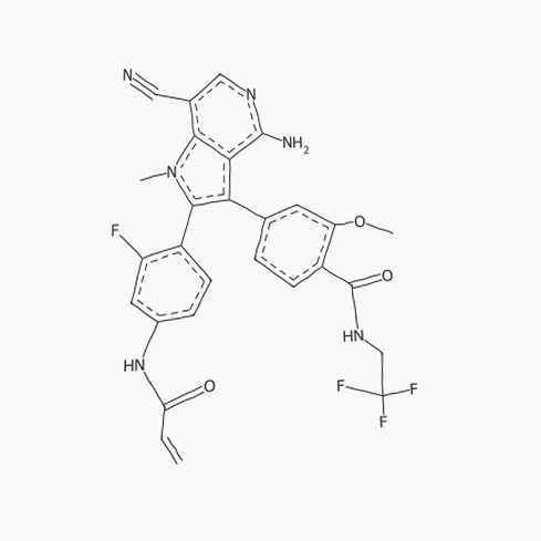 C=CC(=O)Nc1ccc(-c2c(-c3ccc(C(=O)NCC(F)(F)F)c(OC)c3)c3c(N)ncc(C#N)c3n2C)c(F)c1